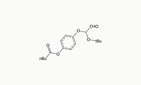 CCCCC(=O)Oc1ccc(OC(C=O)OC(C)(C)C)cc1